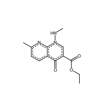 CCOC(=O)c1cn(NC)c2nc(C)ccc2c1=O